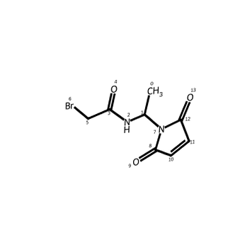 CC(NC(=O)CBr)N1C(=O)C=CC1=O